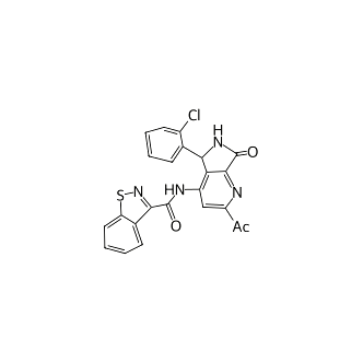 CC(=O)c1cc(NC(=O)c2nsc3ccccc23)c2c(n1)C(=O)NC2c1ccccc1Cl